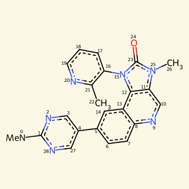 CNc1ncc(-c2ccc3ncc4c(c3c2)n(-c2cccnc2C)c(=O)n4C)cn1